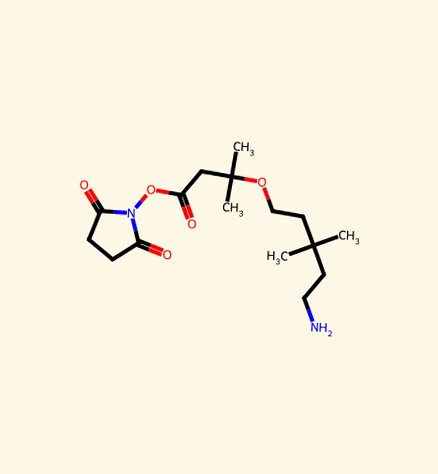 CC(C)(CCN)CCOC(C)(C)CC(=O)ON1C(=O)CCC1=O